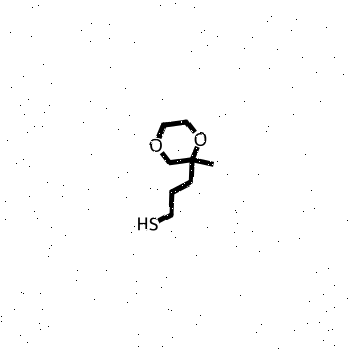 CC1(CCCS)COCCO1